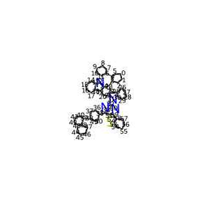 c1ccc2c(c1)-c1ccccc1-n1c3ccccc3c3cc4c(c-2c31)c1ccccc1n4-c1nc(-c2ccc(-c3cccc4ccccc34)cc2)c2sc3ccccc3c2n1